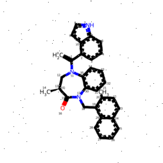 C=C(c1cccc2[nH]ccc12)N1C[C@H](C)C(=O)N(Cc2c(C)ccc3ccccc23)c2ccccc21